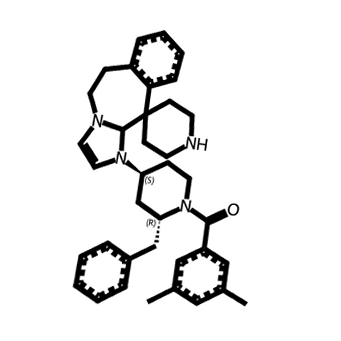 Cc1cc(C)cc(C(=O)N2CC[C@H](N3C=CN4CCc5ccccc5C5(CCNCC5)C43)C[C@H]2Cc2ccccc2)c1